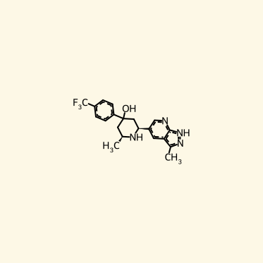 Cc1n[nH]c2ncc([C@@H]3CC(O)(c4ccc(C(F)(F)F)cc4)C[C@H](C)N3)cc12